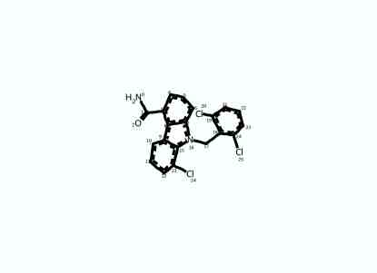 NC(=O)c1cccc2c1c1[c]ccc(Cl)c1n2Cc1c(Cl)cccc1Cl